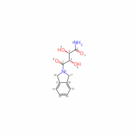 NC(=O)[C@H](O)[C@@H](O)C(=O)N1Cc2ccccc2C1